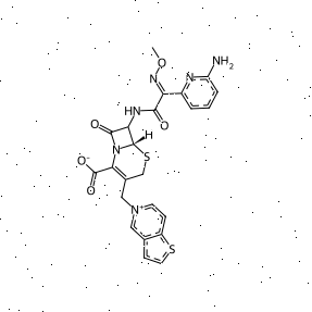 CON=C(C(=O)NC1C(=O)N2C(C(=O)[O-])=C(C[n+]3ccc4sccc4c3)CS[C@@H]12)c1cccc(N)n1